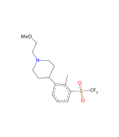 COCCN1CCC(c2cccc(S(=O)(=O)C(F)(F)F)c2C)CC1